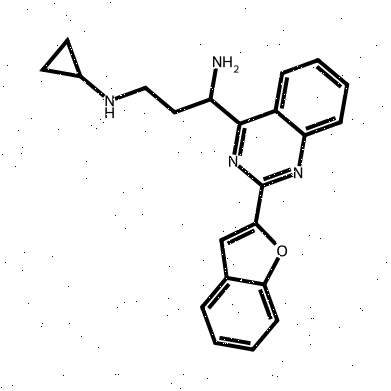 NC(CCNC1CC1)c1nc(-c2cc3ccccc3o2)nc2ccccc12